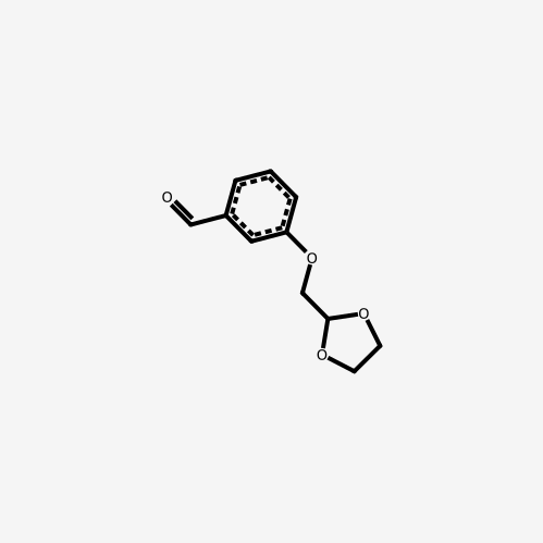 O=Cc1cccc(OCC2OCCO2)c1